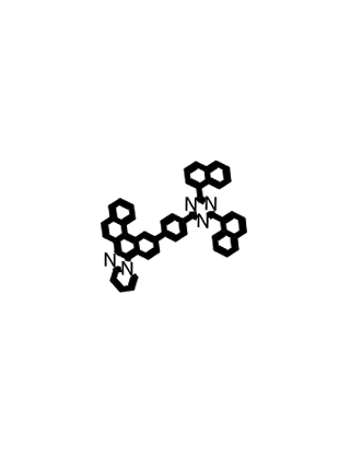 c1ccc2c(-c3nc(-c4ccc(-c5ccc6c(c5)c5c7ccccc7ccc5c5nc7ccccn7c65)cc4)nc(-c4cccc5ccccc45)n3)cccc2c1